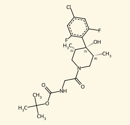 C[C@@H]1CN(C(=O)CNC(=O)OC(C)(C)C)C[C@H](C)[C@@]1(O)c1c(F)cc(Cl)cc1F